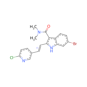 CN(C)C(=O)c1c(/C=C/c2ccc(Cl)nc2)[nH]c2cc(Br)ccc12